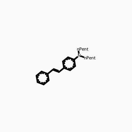 CCCCCN(CCCCC)c1ccc(C=Cc2ccccc2)cc1